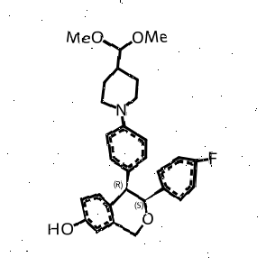 COC(OC)C1CCN(c2ccc([C@@H]3c4ccc(O)cc4CO[C@@H]3c3ccc(F)cc3)cc2)CC1